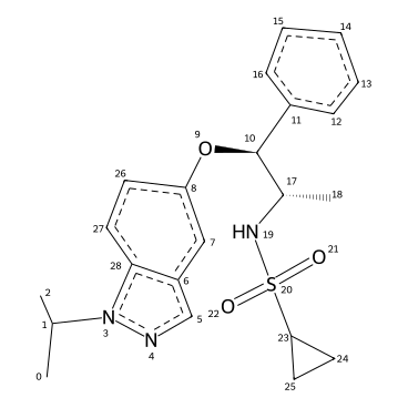 CC(C)n1ncc2cc(O[C@@H](c3ccccc3)[C@H](C)NS(=O)(=O)C3CC3)ccc21